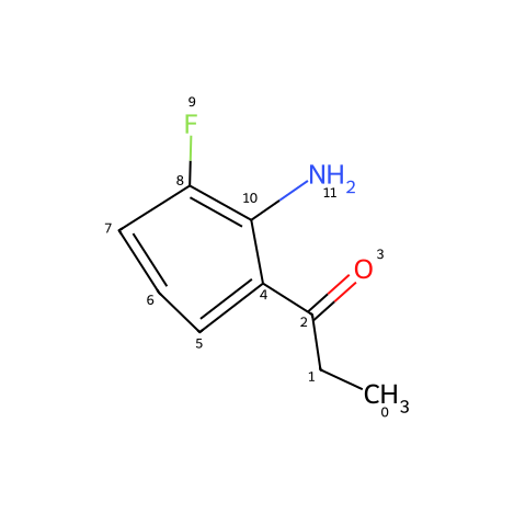 CCC(=O)c1cccc(F)c1N